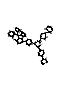 c1ccc(-c2ccc(-c3nc(-c4ccc(-c5ccccc5)cc4)nc(-c4ccc(-c5ccc6c(c5)C5(c7ccccc7S6)c6ccccc6-c6ccccc65)cc4)n3)cc2)cc1